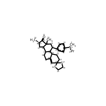 CC(C)N(C)c1ccc(C2CC3(C)C(=O)[C@H](C)CC3C3CCC4=CC5(CCC4C23)SCCS5)cc1